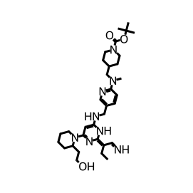 CC/C(C=N)=C1\N=C(N2CCCCC2CCO)C=C(NCc2ccc(N(C)CC3CCN(C(=O)OC(C)(C)C)CC3)nc2)N1